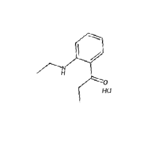 CCNc1ccccc1C(=O)CC.Cl